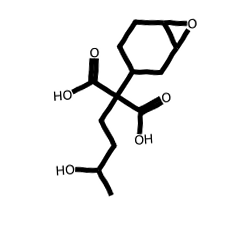 CC(O)CCC(C(=O)O)(C(=O)O)C1CCC2OC2C1